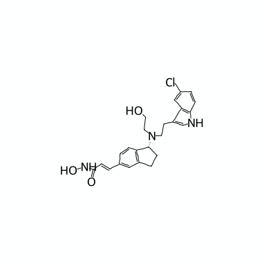 O=C(C=Cc1ccc2c(c1)CC[C@H]2N(CCO)CCc1c[nH]c2ccc(Cl)cc12)NO